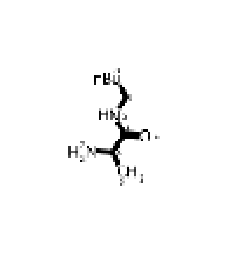 CCCCCNC(=O)C(C)N